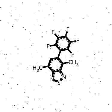 Cc1cc(-c2c(F)c(F)c(F)c(F)c2F)c(C)c2nsnc12